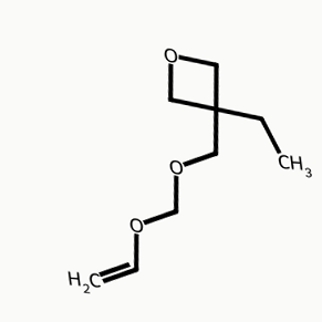 C=COCOCC1(CC)COC1